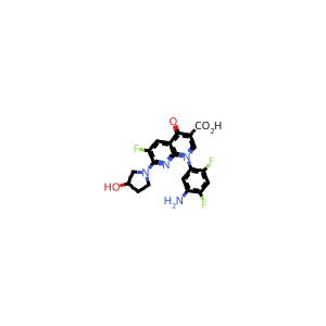 Nc1cc(-n2cc(C(=O)O)c(=O)c3cc(F)c(N4CCC(O)C4)nc32)c(F)cc1F